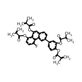 C=C(C)C(=O)Oc1ccc(-c2ccc3cc(OC(=O)C(=C)C)c4c(OC(=O)C(=C)C)ccc(F)c4c3c2)cc1OC(=O)C(=C)C